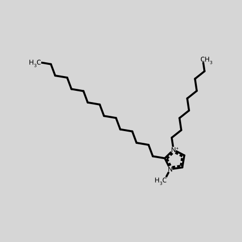 CCCCCCCCCCCCCCCc1n(C)cc[n+]1CCCCCCCCC